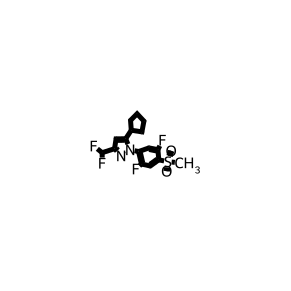 CS(=O)(=O)c1cc(F)c(-n2nc(C(F)F)cc2C2CCCC2)cc1F